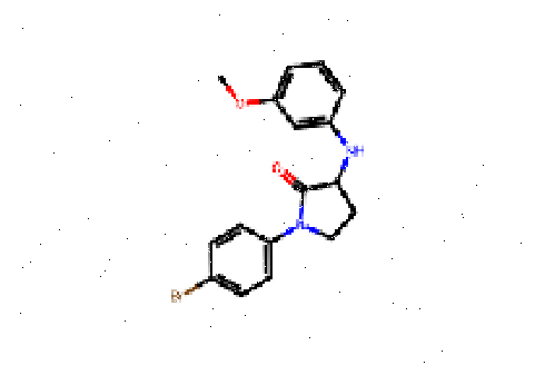 COc1cccc(NC2CCN(c3ccc(Br)cc3)C2=O)c1